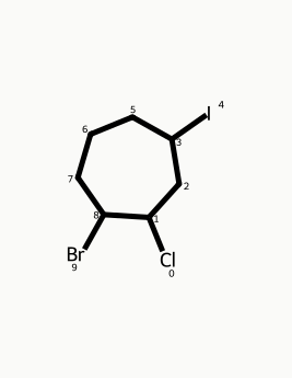 ClC1CC(I)CCCC1Br